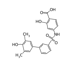 Cc1cc(-c2cccc(S(=O)(=O)Nc3ccc(C(=O)O)c(O)c3)c2)cc(C)c1O